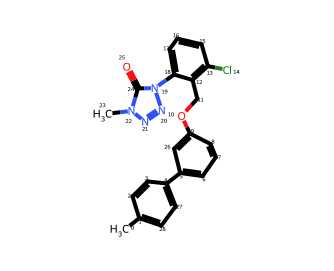 Cc1ccc(-c2cccc(OCc3c(Cl)cccc3-n3nnn(C)c3=O)c2)cc1